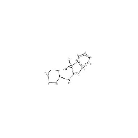 O=S1(=O)C(NC2CCOCC2)=Cc2ccccc21